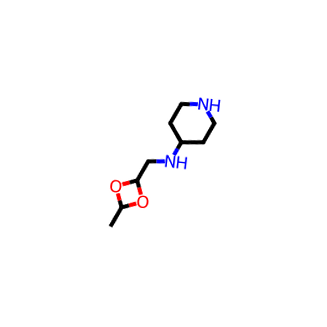 CC1OC(CNC2CCNCC2)O1